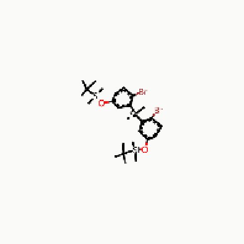 CC(C)(C)[Si](C)(C)Oc1ccc(Br)c([Si](C)(C)c2cc(O[Si](C)(C)C(C)(C)C)ccc2Br)c1